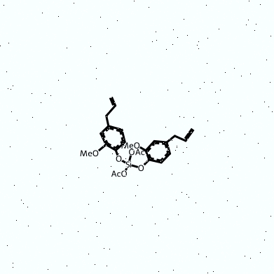 C=CCc1ccc(O[Si](OC(C)=O)(OC(C)=O)Oc2ccc(CC=C)cc2OC)c(OC)c1